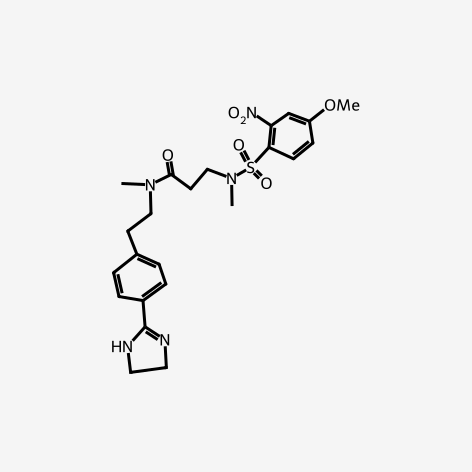 COc1ccc(S(=O)(=O)N(C)CCC(=O)N(C)CCc2ccc(C3=NCCN3)cc2)c([N+](=O)[O-])c1